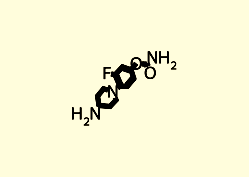 NC(=O)Oc1ccc(N2CCC(N)CC2)c(F)c1